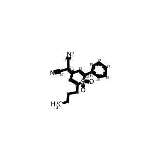 CCCCC1=CC(=C(C#N)C#N)C=C(c2ccccc2)S1(=O)=O